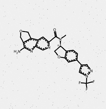 CN(C(=O)c1cc2c3c(c(N)nc2cn1)COC3)[C@@H]1COc2cc(-c3cnn(C(F)(F)F)c3)ccc21